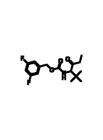 CCC(=O)C(NC(=O)OCc1cc(F)cc(F)c1)C(C)(C)C